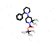 CC(C)(C)OC(=O)N1CCC(N2CCCCC2c2ccccc2)CC1(C)C